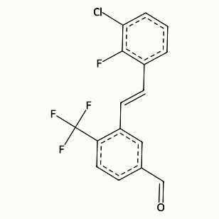 O=Cc1ccc(C(F)(F)F)c(/C=C/c2cccc(Cl)c2F)c1